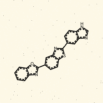 c1ccc2oc(-c3ccc4sc(-c5ccc6[nH]cnc6c5)nc4c3)nc2c1